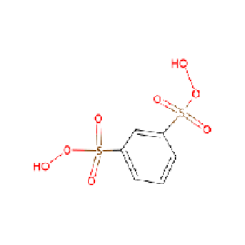 O=S(=O)(OO)c1cccc(S(=O)(=O)OO)c1